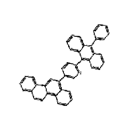 c1ccc(-c2c3ccccc3c(-c3ccc(-c4cc5c6ccccc6ccc5c5ccccc45)cn3)c3ccccc23)cc1